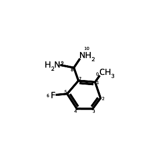 Cc1cccc(F)c1C(N)N